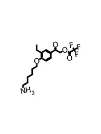 CCc1cc(C(=O)COC(=O)C(F)(F)F)ccc1OCCCCCCN